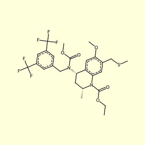 CCOC(=O)N1c2cc(CSC)c(OC)cc2[C@@H](N(Cc2cc(C(F)(F)F)cc(C(F)(F)F)c2)C(=O)OC)C[C@H]1C